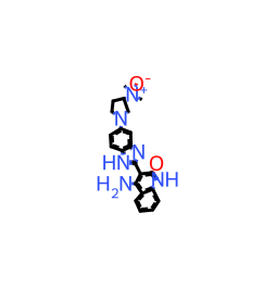 C[N+](C)([O-])[C@H]1CCN(c2ccc3[nH]c(-c4c(N)c5ccccc5[nH]c4=O)nc3c2)C1